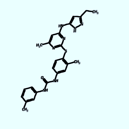 CCc1cc(Nc2cc(C)nc(Sc3ccc(NC(=O)Nc4cccc(C)c4)cc3C)n2)[nH]n1